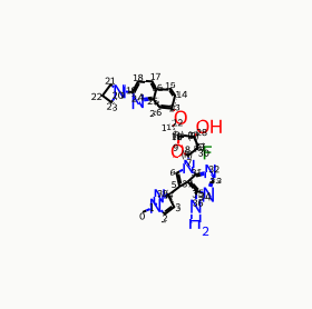 Cn1ccc(-c2cn([C@@H]3O[C@H](COc4ccc5ccc(N6CCC6)nc5c4)[C@@H](O)[C@@H]3F)c3ncnc(N)c23)n1